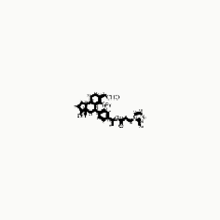 CCCC1=C2C(c3ccc(C(C)OC(=O)CCn4ccnc4C)cc3)CC3(C)C(O)CCC3C2CC/C1=C/C=O